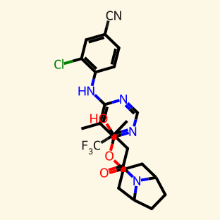 Cc1c(Nc2ccc(C#N)cc2Cl)ncnc1OC1CC2CCC(C1)N2C(=O)CC(C)(O)C(F)(F)F